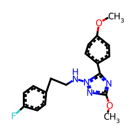 COc1ccc(-c2nc(OC)nn2NCCc2ccc(F)cc2)cc1